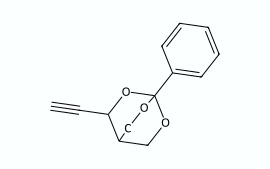 C#CC1OC2(c3ccccc3)OCC1CO2